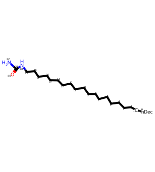 CCCCCCCCCCCCCCCCCCCCCCCCCCCCCNC(N)=O